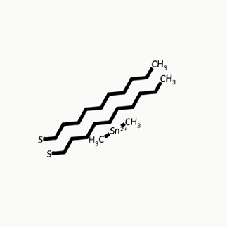 CCCCCCCCCC[S-].CCCCCCCCCC[S-].[CH3][Sn+2][CH3]